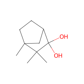 CC12CCC(C1)C(O)(O)C2(C)C